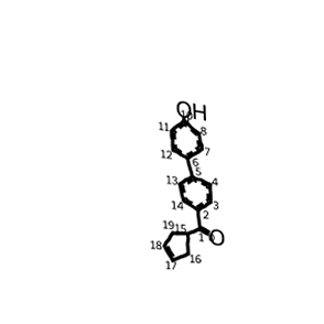 O=C(c1ccc(-c2ccc(O)cc2)cc1)C1CC=CC1